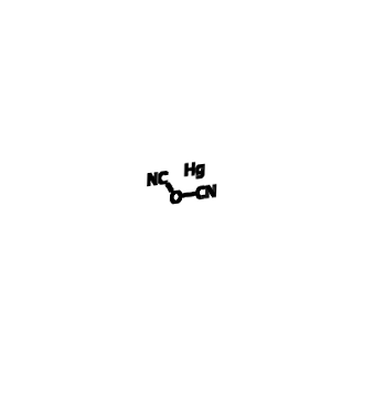 N#COC#N.[Hg]